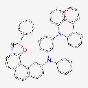 c1ccc(-c2nc3ccc4ccc5ccc(N(c6ccccc6)c6cccc(N(c7ccccc7)c7ccccc7-c7ccccc7)c6)cc5c4c3o2)cc1